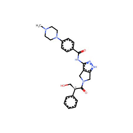 CN1CCN(c2ccc(C(=O)Nc3n[nH]c4c3CN(C(=O)[C@H](CO)c3ccccc3)C4)cc2)CC1